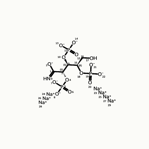 N=C([O-])[C@@H](OP(=O)([O-])[O-])[C@@H](OP(=O)([O-])[O-])[C@@H](CO)OP(=O)([O-])[O-].[Na+].[Na+].[Na+].[Na+].[Na+].[Na+].[Na+]